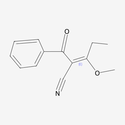 CC/C(OC)=C(/C#N)C(=O)c1ccccc1